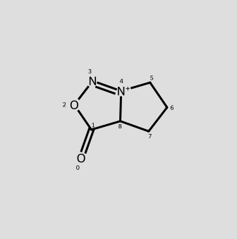 O=C1ON=[N+]2CCCC12